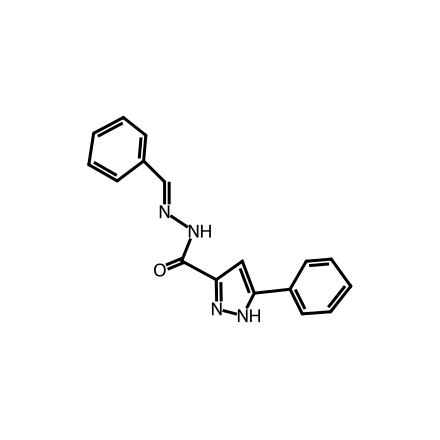 O=C(N/N=C/c1ccccc1)c1cc(-c2ccccc2)[nH]n1